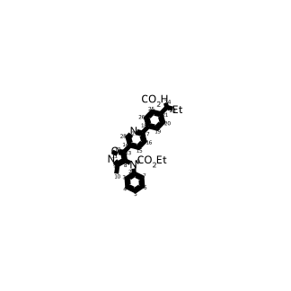 CCOC(=O)N(c1ccccc1)c1c(C)noc1-c1ccc(-c2ccc(C(CC)C(=O)O)cc2)nc1